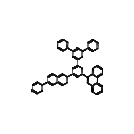 c1ccc(-c2cc(-c3cc(-c4ccc5cc(-c6ccncc6)ccc5c4)cc(-c4cc5ccccc5c5ccccc45)c3)cc(-c3ccccc3)n2)cc1